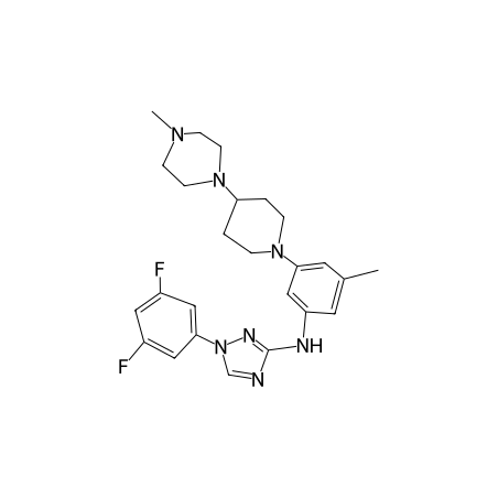 Cc1cc(Nc2ncn(-c3cc(F)cc(F)c3)n2)cc(N2CCC(N3CCN(C)CC3)CC2)c1